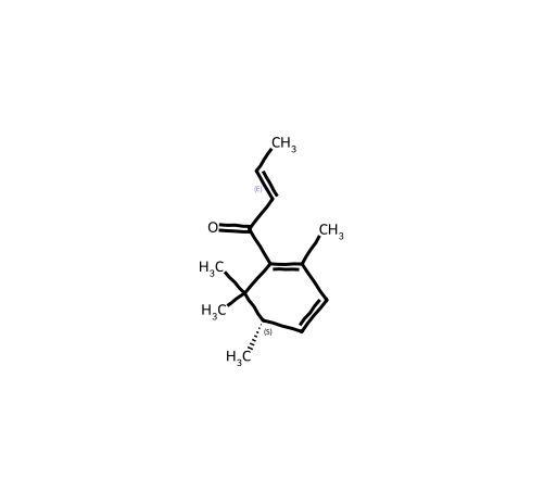 C/C=C/C(=O)C1=C(C)C=C[C@H](C)C1(C)C